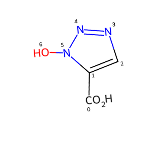 O=C(O)c1cnnn1O